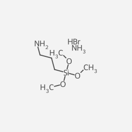 Br.CO[Si](CCCN)(OC)OC.N